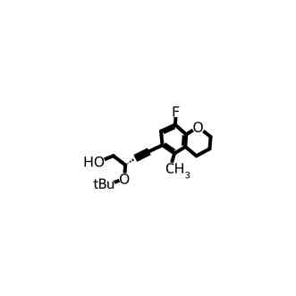 Cc1c(C#C[C@@H](CO)OC(C)(C)C)cc(F)c2c1CCCO2